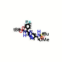 COC[C@H](N[S@+]([O-])C(C)(C)C)c1cnn2cc([C@@H](NC(=O)OC(C)(C)C)C3CCC(F)(F)CC3)nc2c1